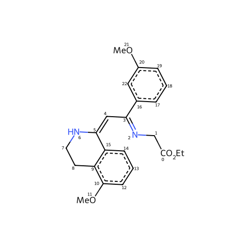 CCOC(=O)CN=C(/C=C1/NCCc2c(OC)cccc21)c1cccc(OC)c1